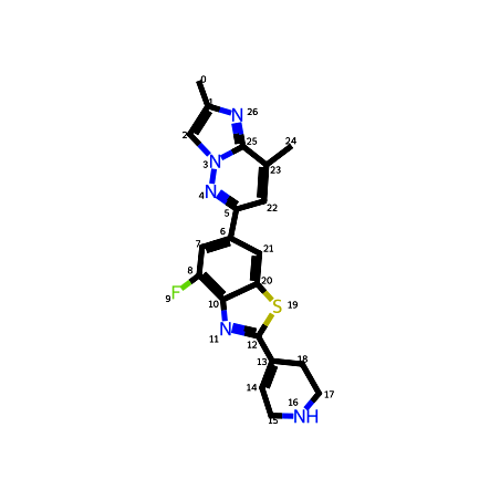 Cc1cn2nc(-c3cc(F)c4nc(C5=CCNCC5)sc4c3)cc(C)c2n1